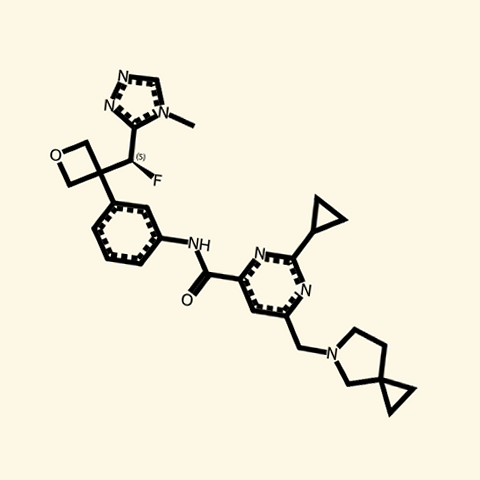 Cn1cnnc1[C@@H](F)C1(c2cccc(NC(=O)c3cc(CN4CCC5(CC5)C4)nc(C4CC4)n3)c2)COC1